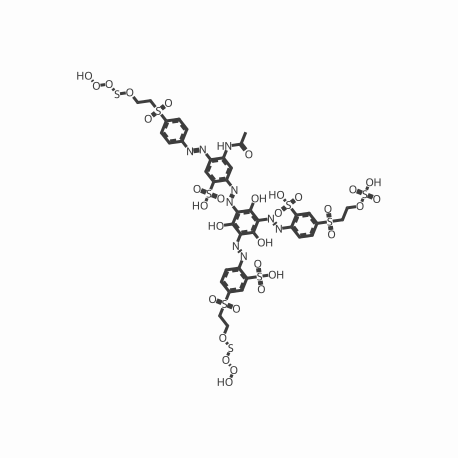 CC(=O)Nc1cc(/N=N/c2c(O)c(/N=N/c3ccc(S(=O)(=O)CCOSOOO)cc3S(=O)(=O)O)c(O)c(/N=N/c3ccc(S(=O)(=O)CCOS(=O)(=O)O)cc3S(=O)(=O)O)c2O)c(S(=O)(=O)O)cc1/N=N/c1ccc(S(=O)(=O)CCOSOOO)cc1